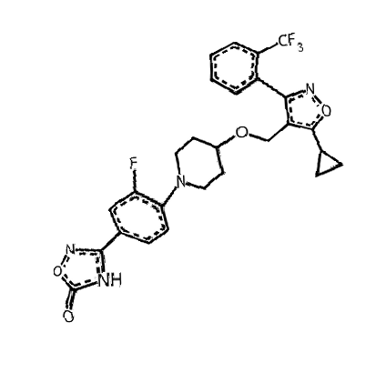 O=c1[nH]c(-c2ccc(N3CCC(OCc4c(-c5ccccc5C(F)(F)F)noc4C4CC4)CC3)c(F)c2)no1